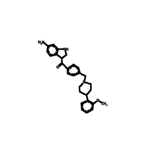 COc1ccccc1C1CCN(Cc2ccc(C(=O)C3CNc4cc(N)ccc43)cc2)CC1